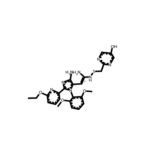 CCOc1cccc(-c2nc(N)c(/C=C(\N)NSCc3ncc(O)cn3)n2-c2c(OC)cccc2OC)n1